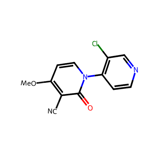 COc1ccn(-c2ccncc2Cl)c(=O)c1C#N